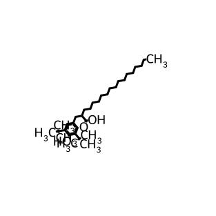 CCCCCCCCCCCCCCCCC(Cc1cc(C(C)(C)C)c(O)c(C(C)(C)C)c1)C(=O)O